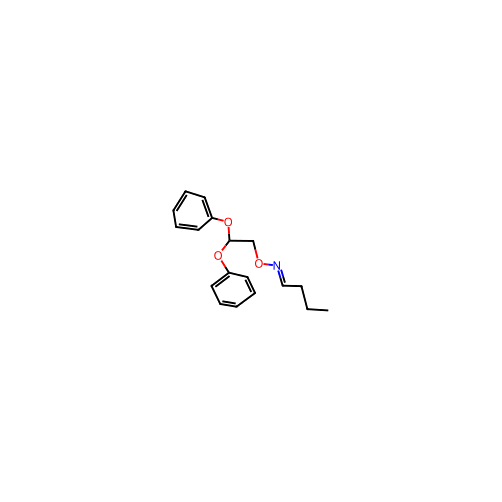 CCCC=NOCC(Oc1ccccc1)Oc1ccccc1